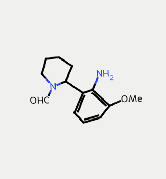 COc1cccc(C2CCCCN2C=O)c1N